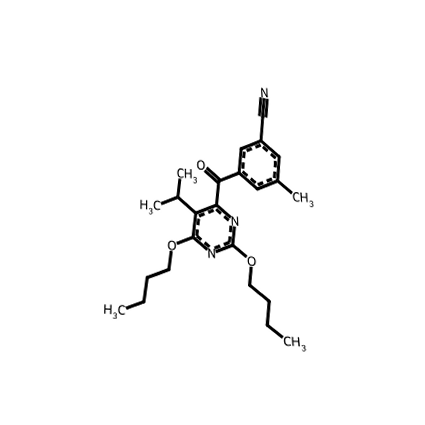 CCCCOc1nc(OCCCC)c(C(C)C)c(C(=O)c2cc(C)cc(C#N)c2)n1